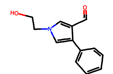 O=Cc1cn(CCO)cc1-c1ccccc1